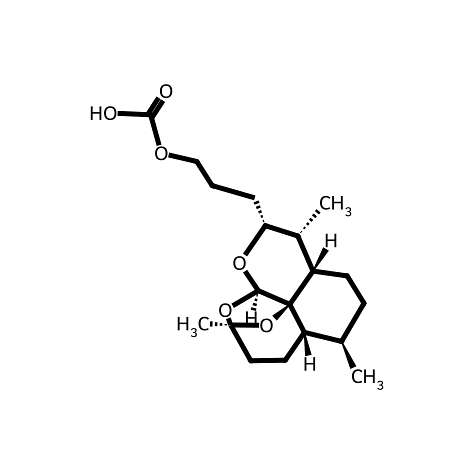 C[C@H]1[C@@H](CCCOC(=O)O)O[C@@H]2O[C@]3(C)CC[C@H]4[C@H](C)CC[C@@H]1[C@@]24O3